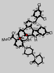 COC(=O)c1cnc(N2CCC(N3CCCCC3=O)CC2)c(NC(=O)c2[nH]c3cc(Cl)ccc3c2-c2c(-c3ccccc3)ncn2[C@@H](C)c2ccc(Cl)cc2Cl)c1